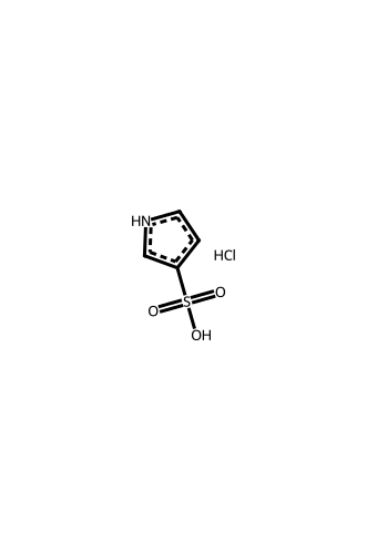 Cl.O=S(=O)(O)c1cc[nH]c1